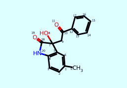 Cc1ccc2c(c1)C(O)(CC(=O)c1ccccc1)C(=O)N2